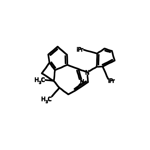 CC(C)c1cccc(C(C)C)c1-n1cc2nc1-c1cccc3c1C(C)(C3)C(C)C2